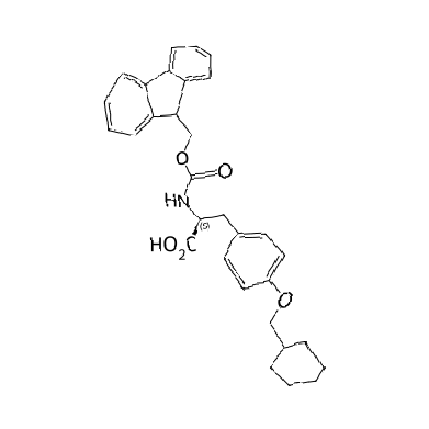 O=C(N[C@@H](Cc1ccc(OCC2CCCCC2)cc1)C(=O)O)OCC1c2ccccc2-c2ccccc21